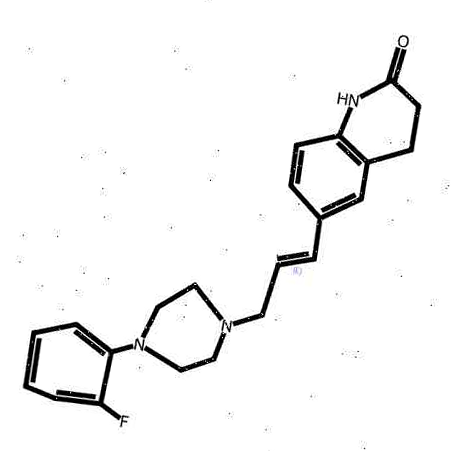 O=C1CCc2cc(/C=C/CN3CCN(c4ccccc4F)CC3)ccc2N1